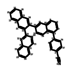 N#Cc1ccc(-c2cccc3cc(-c4cc5ccccc5cc4-c4ncc5ccccc5n4)ccc23)cc1